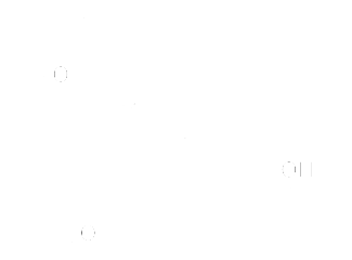 OCCC1(C2CCO2)COC1